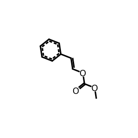 COC(=O)OC=Cc1ccccc1